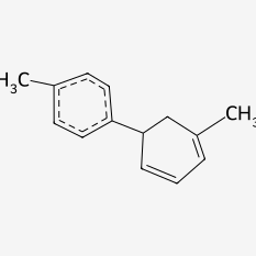 CC1=CC=CC(c2ccc(C)cc2)C1